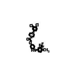 Cc1ccc(NC2CCC(OCC(=O)N3CCN(c4ccc(Cl)c(Cl)c4)CC3)CC2)cc1C(F)(F)F